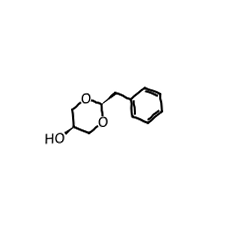 O[C@H]1CO[C@@H](Cc2ccccc2)OC1